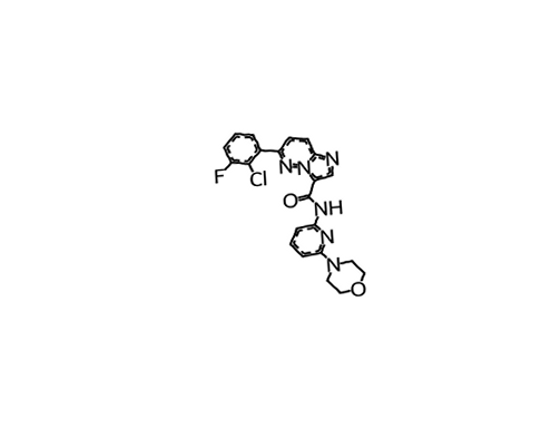 O=C(Nc1cccc(N2CCOCC2)n1)c1cnc2ccc(-c3cccc(F)c3Cl)nn12